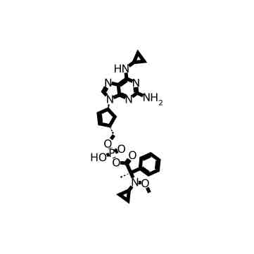 CON(C1CC1)[C@@](C)(C(=O)OP(=O)(O)OC[C@@H]1C=C[C@H](n2cnc3c(NC4CC4)nc(N)nc32)C1)c1ccccc1